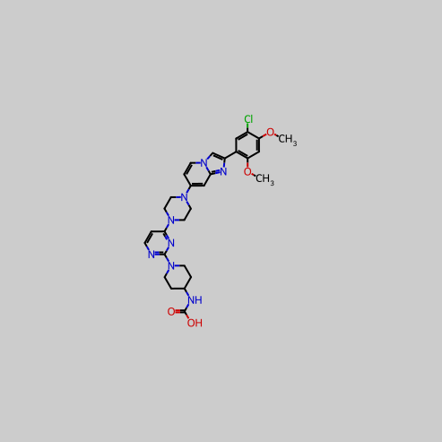 COc1cc(OC)c(-c2cn3ccc(N4CCN(c5ccnc(N6CCC(NC(=O)O)CC6)n5)CC4)cc3n2)cc1Cl